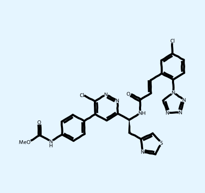 COC(=O)Nc1ccc(-c2cc([C@H](Cc3cscn3)NC(=O)/C=C/c3cc(Cl)ccc3-n3cnnn3)nnc2Cl)cc1